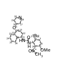 COc1ccc(C(C)(C)C)c(NC(=O)Nc2ccc(Oc3c[c]ncc3)c3ccccc23)c1[S+](C)[O-]